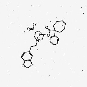 O=C(OC1C[N+]2(CCc3ccc4c(c3)CCO4)CCC1CC2)C1(c2ccccc2)CCCCCC1.O=C[O-]